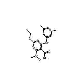 CCSc1nc(Nc2cc(C)cc(C)c2)c(C(N)=O)c([S+](C)[O-])n1